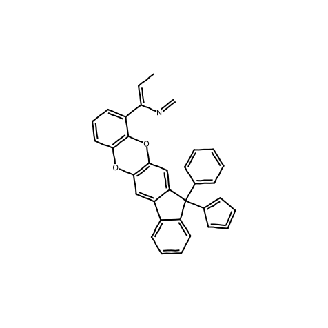 C=N/C(=C\C)c1cccc2c1Oc1cc3c(cc1O2)-c1ccccc1C3(C1=CC=C=C1)c1ccccc1